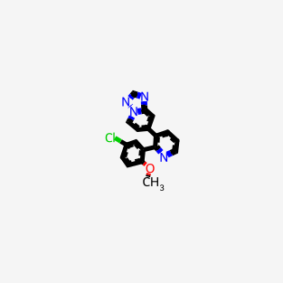 COc1ccc(Cl)cc1-c1ncccc1-c1ccn2ncnc2c1